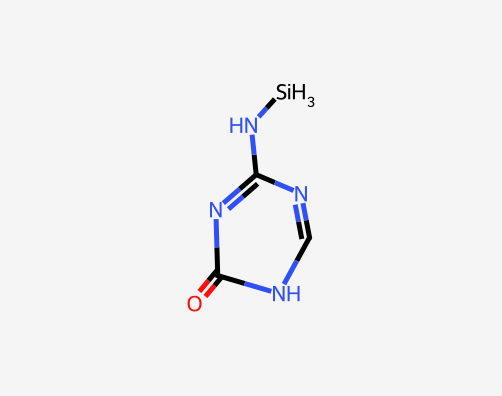 O=c1nc(N[SiH3])nc[nH]1